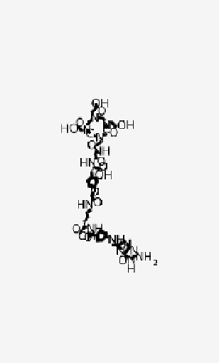 Nc1nc2ncc(CNc3ccc(C(=O)N[C@@H](CCCCNC(=O)COc4ccc(C[C@H](NC(=O)CNC(=O)CN5CCN(CC(=O)O)CCN(CC(=O)O)CCN(CC(=O)O)CC5)C(=O)O)cc4)C(=O)O)cc3)nc2c(=O)[nH]1